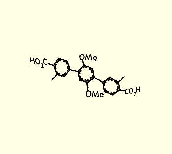 COc1cc(-c2ccc(C(=O)O)c(C)c2)c(OC)cc1-c1ccc(C(=O)O)c(C)c1